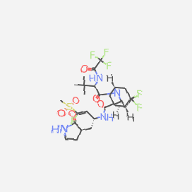 CC(C)(C)[C@@H](NC(=O)C(F)(F)F)C(=O)N1[C@@H]2CC[C@H]([C@H]1C(=O)N[C@@H](/C=C(\F)S(C)(=O)=O)C[C@H]1CCNC1=O)C(F)(F)C2